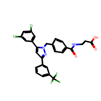 O=C(O)CCNC(=O)c1ccc(Cn2nc(-c3cccc(C(F)(F)F)c3)cc2-c2cc(Cl)cc(Cl)c2)cc1